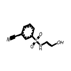 N#Cc1cccc(S(=O)(=O)NCCO)c1